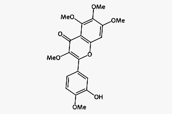 COc1ccc(-c2oc3cc(OC)c(OC)c(OC)c3c(=O)c2OC)cc1O